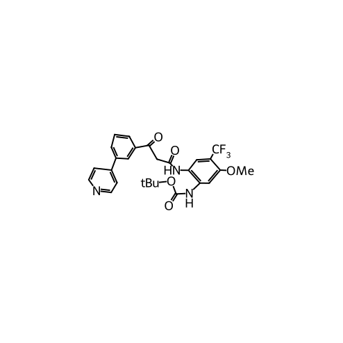 COc1cc(NC(=O)OC(C)(C)C)c(NC(=O)CC(=O)c2cccc(-c3ccncc3)c2)cc1C(F)(F)F